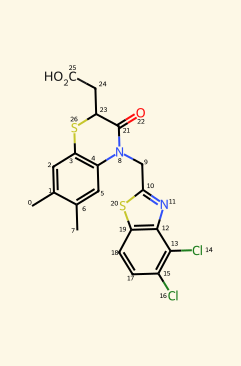 Cc1cc2c(cc1C)N(Cc1nc3c(Cl)c(Cl)ccc3s1)C(=O)C(CC(=O)O)S2